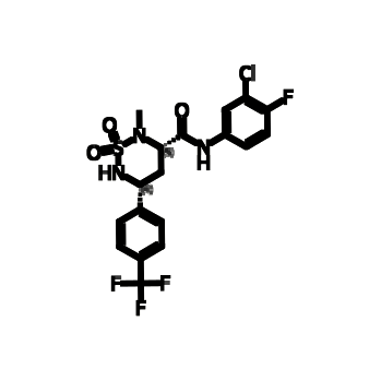 CN1[C@H](C(=O)Nc2ccc(F)c(Cl)c2)C[C@H](c2ccc(C(F)(F)F)cc2)NS1(=O)=O